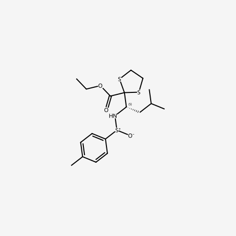 CCOC(=O)C1([C@H](CC(C)C)N[S+]([O-])c2ccc(C)cc2)SCCS1